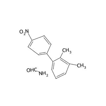 Cc1cccc(-c2ccc([N+](=O)[O-])cc2)c1C.NC=O